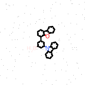 Bc1cc(-c2cccc3c2oc2ccccc23)cc(-n2c3ccccc3c3ccccc32)c1